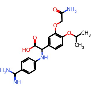 CC(C)Oc1ccc(C(Nc2ccc(C(=N)N)cc2)C(=O)O)cc1OCC(N)=O